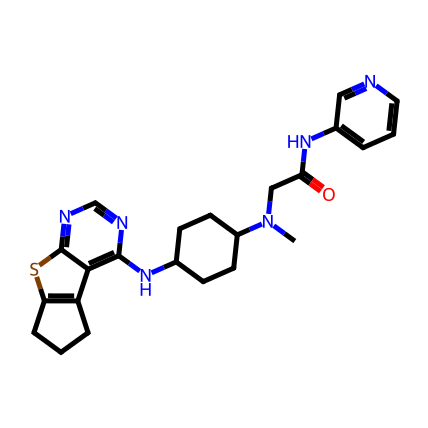 CN(CC(=O)Nc1cccnc1)C1CCC(Nc2ncnc3sc4c(c23)CCC4)CC1